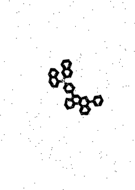 c1ccc(-c2cc3cc(-c4ccc(N(c5ccc6ccccc6c5)c5cccc6ccccc56)cc4)c4ccccc4c3c3ccccc23)cc1